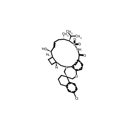 CC(C)[C@@H]1[C@@H](C)C/C=C/[C@H](O)[C@@H]2CC[C@H]2CN2C[C@@]3(CCCc4cc(Cl)ccc43)COc3ccc(cc32)C(=O)NS1(=O)=O